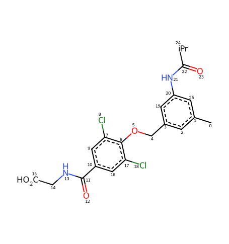 Cc1cc(COc2c(Cl)cc(C(=O)NCC(=O)O)cc2Cl)cc(NC(=O)C(C)C)c1